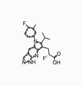 Cc1cc(-n2c(C(C)C)c(C[C@@H](F)C(=O)O)c3nc4[nH]ncc4cc32)ccc1F